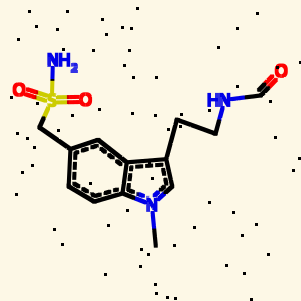 Cn1cc(CCNC=O)c2cc(CS(N)(=O)=O)ccc21